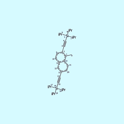 Cc1c(C#C[Si](C(C)C)(C(C)C)C(C)C)ccc2cc(C#C[Si](C(C)C)(C(C)C)C(C)C)ccc12